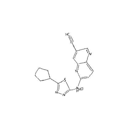 C#Cc1cnc2ccc(Nc3nnc(C4CCCC4)s3)nc2c1.Cl